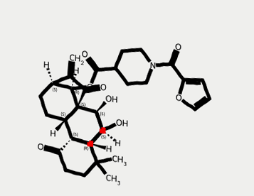 C=C1C(=O)[C@]23[C@H](OC(=O)C4CCN(C(=O)c5ccco5)CC4)[C@H]1CC[C@H]2[C@@]12CO[C@]3(O)[C@@H](O)[C@@H]1C(C)(C)CCC2=O